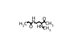 C=CC(=O)NCCC(NC)C(C)=O